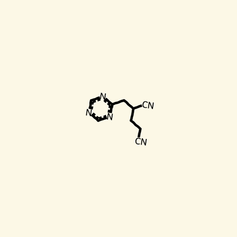 N#CCCC(C#N)Cc1ncncn1